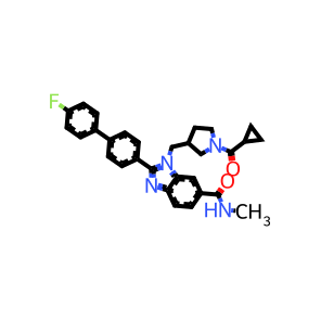 CNC(=O)c1ccc2nc(-c3ccc(-c4ccc(F)cc4)cc3)n(CC3CCN(C(=O)C4CC4)C3)c2c1